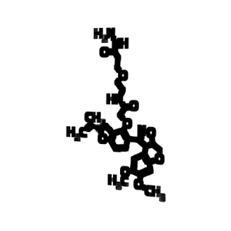 C=C(C)[C@H]1Cc2c(ccc(C3=NOC4COc5cc(OC)c(OC)cc5C34)c2OCC(=O)NCCOCCC(=O)NN)O1